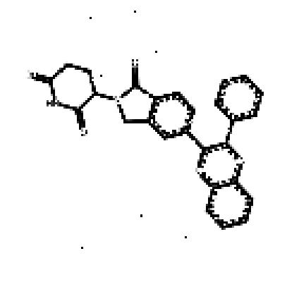 O=C1CCC(N2Cc3cc(-c4nc5ccccc5nc4-c4ccccc4)ccc3C2=O)C(=O)N1